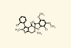 COc1cc(OC)c2c(c1Cl)O[C@]1(C2=O)C(=O)c2c(nn(C)c2-c2ccccc2Cl)C[C@H]1C